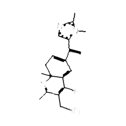 C=C(C1=CCC2(C)N=C(C)C(CC(C)C)=C(F)C2=C1)c1cnc(C)n1C